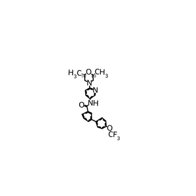 C[C@@H]1CN(c2ccc(NC(=O)c3cccc(-c4ccc(OC(F)(F)F)cc4)c3)cn2)C[C@H](C)O1